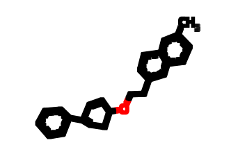 Cc1ccc2cc(CCOC3C=CC(c4ccccc4)=CC3)ccc2c1